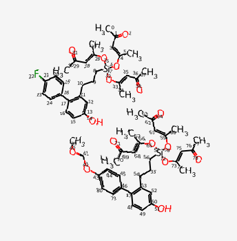 CC(=O)C=C(C)O[Si](CCCc1cc(O)ccc1-c1ccc(F)cc1)(OC(C)=CC(C)=O)OC(C)=CC(C)=O.COCOc1ccc(-c2ccc(O)cc2CCC[Si](OC(C)=CC(C)=O)(OC(C)=CC(C)=O)OC(C)=CC(C)=O)cc1